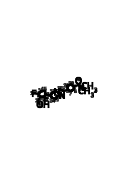 CN(C)C(=O)c1ccc(-c2cn3cc(-c4ccc(F)c(CO)c4F)ccc3n2)cc1